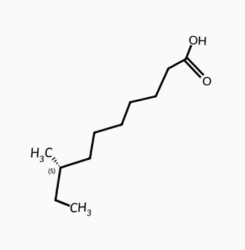 CC[C@H](C)CCCCCCC(=O)O